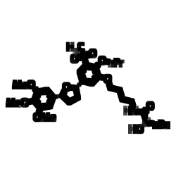 CCCCN(O)C(=O)NCCCCOc1cc([C@@H]2CC[C@H](c3cc(OC)c(OC)c(OC)c3)O2)cc(S(C)(=O)=O)c1OCCC